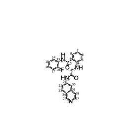 O=C(CNc1ccccc1C(=O)Nc1ccccc1F)Nc1ccc2cnccc2c1